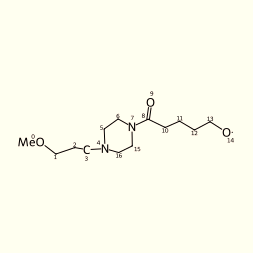 COCCCN1CCN(C(=O)CCCC[O])CC1